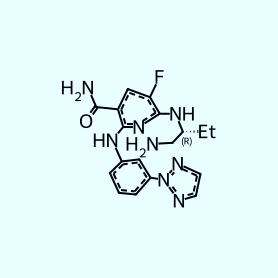 CC[C@H](CN)Nc1nc(Nc2cccc(-n3nccn3)c2)c(C(N)=O)cc1F